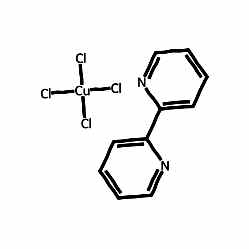 [Cl][Cu]([Cl])([Cl])[Cl].c1ccc(-c2ccccn2)nc1